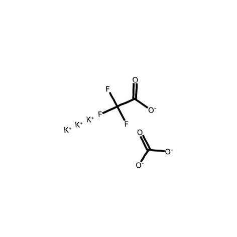 O=C([O-])C(F)(F)F.O=C([O-])[O-].[K+].[K+].[K+]